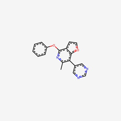 Cc1nc(Oc2ccccc2)c2ccoc2c1-c1cncnc1